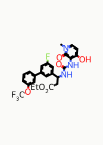 CCOC(=O)CC(NC(=O)Nc1c(O)ccn(C)c1=O)c1cc(F)cc(-c2cccc(OC(F)(F)F)c2)c1